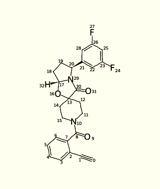 C#Cc1ccccc1C(=O)N1CCC2(CC1)O[C@@H]1CC[C@@H](c3cc(F)cc(F)c3)N1C2=O